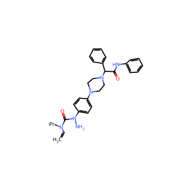 C=CN(C(=O)N(N)c1ccc(N2CCN(C(C(=O)Nc3ccccc3)c3ccccc3)CC2)cc1)C(C)C